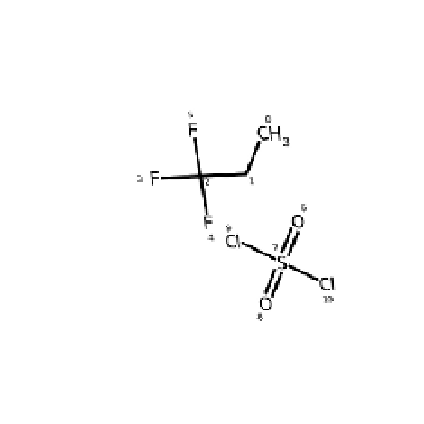 CCC(F)(F)F.O=S(=O)(Cl)Cl